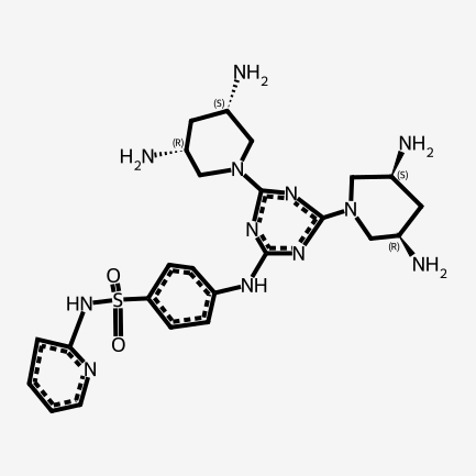 N[C@@H]1C[C@H](N)CN(c2nc(Nc3ccc(S(=O)(=O)Nc4ccccn4)cc3)nc(N3C[C@H](N)C[C@H](N)C3)n2)C1